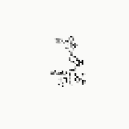 COc1cc(-c2cnc3cc(C(O)C4CCN4C(=O)OC(C)(C)C)ccn23)cc(OC(F)F)c1C(=O)NC1CC1